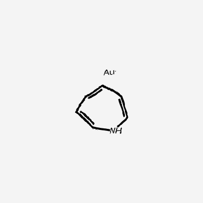 C1=CC=CNC=C1.[Au]